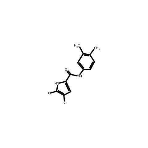 Cc1ccc(NC(=O)c2cc(Cl)c(Cl)[nH]2)cc1C